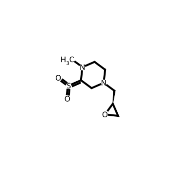 CN1CCN(C[C@H]2CO2)CC1=S(=O)=O